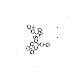 CC1(C)c2ccccc2-c2ccc(-c3c4oc5ccc(N(c6ccc(-c7ccccc7)cc6)c6ccc7c(c6)C6(c8ccccc8-c8ccccc86)c6ccccc6-7)cc5c4cc4oc5ccccc5c34)cc21